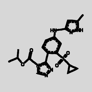 Cc1cc(Nc2ccc(-c3nn[c]n3C(=O)OC(C)C)c(S(=O)(=O)C3CC3)c2)n[nH]1